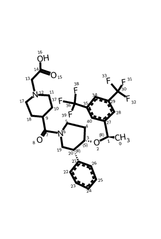 C[C@@H](O[C@H]1CCN(C(=O)C2CCN(CC(=O)O)CC2)C[C@H]1c1ccccc1)c1cc(C(F)(F)F)cc(C(F)(F)F)c1